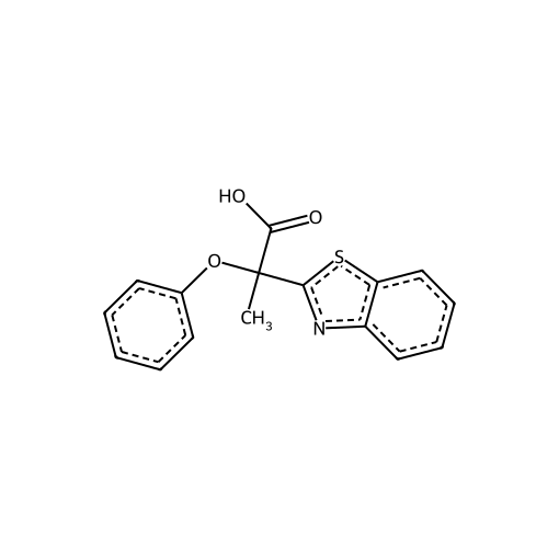 CC(Oc1ccccc1)(C(=O)O)c1nc2ccccc2s1